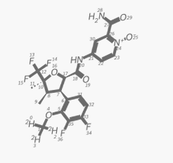 [2H]C([2H])([2H])Oc1c([C@H]2[C@@H](C)[C@@](C)(C(F)(F)F)O[C@H]2C(=O)Nc2cc[n+]([O-])c(C(N)=O)c2)ccc(F)c1F